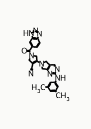 Cc1cc(C)cc(Nc2ncc3c(n2)CN(C2=C(C#N)CN(C(=O)c4ccc5nn[nH]c5c4)C2)C3)c1